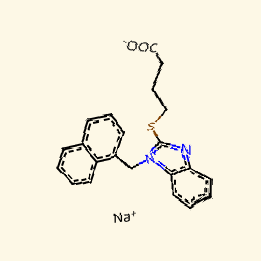 O=C([O-])CCCSc1nc2ccccc2n1Cc1cccc2ccccc12.[Na+]